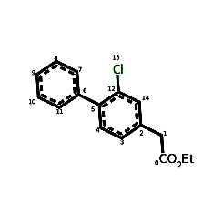 CCOC(=O)Cc1ccc(-c2ccccc2)c(Cl)c1